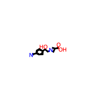 N#Cc1ccc(C(O)CN2CC(C(=O)O)C2)cc1